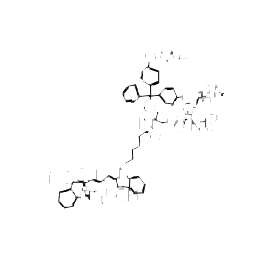 CC[N+]1=C(/C=C/C=C2/N(CCCCCC(=O)NC(COOP(OCCC#N)N(C(C)C)C(C)C)COC(c3ccccc3)(c3ccc(OC)cc3)c3ccc(OC)cc3)c3ccccc3C2(C)C)C(C)(C)c2ccccc21